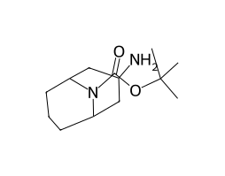 CC(C)(C)OC(=O)N1C2CCCC1CC(N)C2